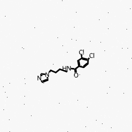 O=C(NCCCCn1ccnc1)c1ccc(Cl)c(Cl)c1